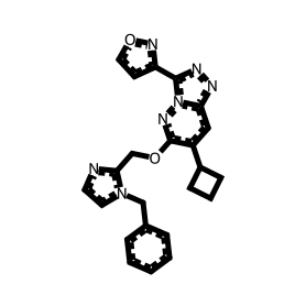 c1ccc(Cn2ccnc2COc2nn3c(-c4ccon4)nnc3cc2C2CCC2)cc1